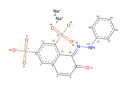 O=C1C=Cc2cc(S(=O)(=O)[O-])cc(S(=O)(=O)[O-])c2/C1=N/Nc1ccccc1.[Na+].[Na+]